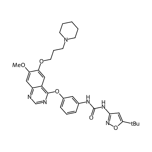 COc1cc2ncnc(Oc3cccc(NC(=O)Nc4cc(C(C)(C)C)on4)c3)c2cc1OCCCN1CCCCC1